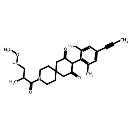 CC#Cc1cc(C)c(C2C(=O)CC3(CCN(C(=O)C(C)CNOC)CC3)CC2=O)c(C)c1